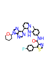 Cc1ccc(NC(=O)c2ncsc2-c2ccc(F)cc2)cc1Nc1ncccc1-c1ncnc2c1ncn2C1CCCCO1